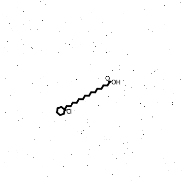 O=C(O)CCCCCCCCCCCCCCC1(Cl)CCCCC1